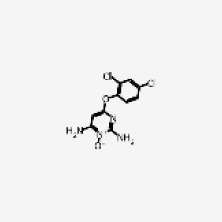 Nc1cc(Oc2ccc(Cl)cc2Cl)nc(N)[n+]1[O-]